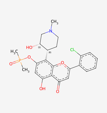 CN1CC[C@H](c2c(OP(C)(C)=O)cc(O)c3c(=O)cc(-c4ccccc4Cl)oc23)[C@H](O)C1